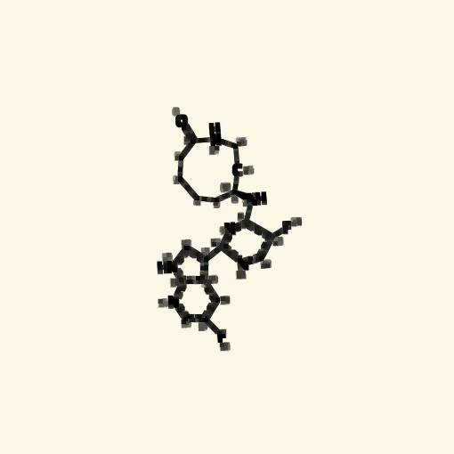 O=C1CCCC[C@H](Nc2nc(-c3c[nH]c4ncc(F)cc34)ncc2F)CCN1